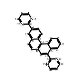 c1cnc(-c2ccc3c(ccc4cc(-c5ncccn5)c5ccccc5c43)c2)nc1